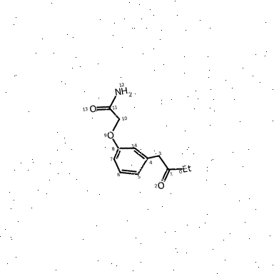 CCC(=O)Cc1cccc(OCC(N)=O)c1